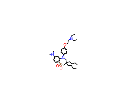 CCCCC1(CCCC)CN(c2ccc(OCCN(CC)CC)cc2)c2cc(N(C)C)ccc2S(=O)(=O)C1